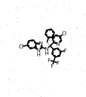 Fc1cc(C(F)(F)F)cc([C@@](Cc2ccccc2)(Nc2nc3ccc(Cl)cc3[nH]2)c2ccc(Cl)cn2)c1